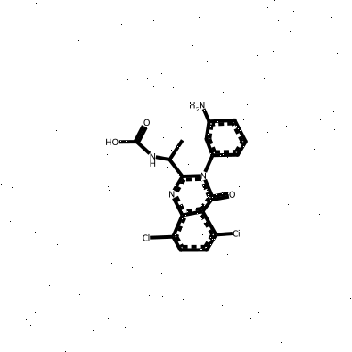 CC(NC(=O)O)c1nc2c(Cl)ccc(Cl)c2c(=O)n1-c1cccc(N)c1